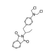 CCC(Cc1ccc(N(CCl)CCl)cc1)N1C(=O)c2ccccc2C1=O